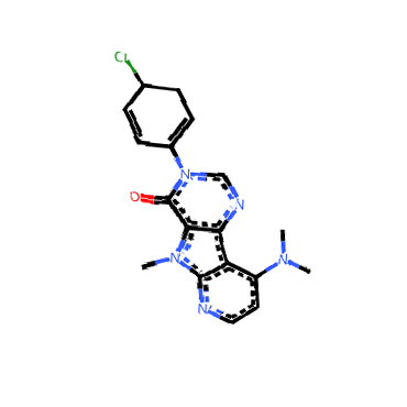 CN(C)c1ccnc2c1c1ncn(C3=CCC(Cl)C=C3)c(=O)c1n2C